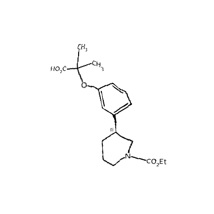 CCOC(=O)N1CCC[C@@H](c2cccc(OC(C)(C)C(=O)O)c2)C1